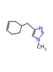 Cn1cnc(CC2CC=CCC2)c1